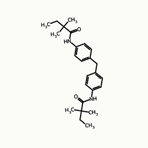 CCC(C)(C)C(=O)Nc1ccc(Cc2ccc(NC(=O)C(C)(C)CC)cc2)cc1